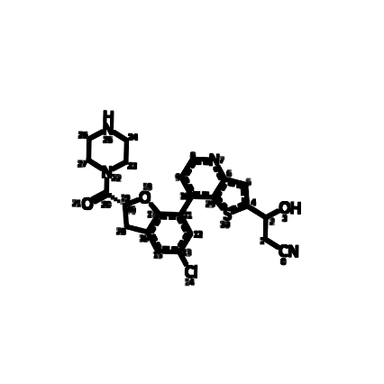 N#CCC(O)c1cc2nccc(-c3cc(Cl)cc4c3O[C@@H](C(=O)N3CCNCC3)C4)c2s1